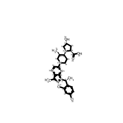 Cc1nn([C@H](C)c2ccc(Cl)cc2Cl)c2nc(N3CC[C@H](N4C[C@H](O)C[C@H]4C(=O)O)[C@H](C)C3)cnc12